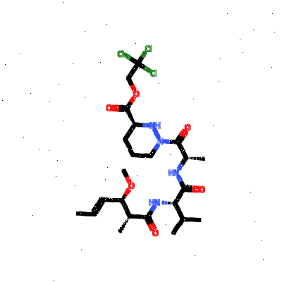 C/C=C/[C@@H](OC)[C@@H](C)C(=O)N[C@H](C(=O)N[C@@H](C)C(=O)N1CCC[C@@H](C(=O)OCC(Cl)(Cl)Cl)N1)C(C)C